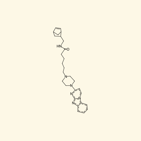 O=C(CCCCCN1CCN(c2ccn3c(n2)nc2ccccc23)CC1)NCC1CC2C=CC1C2